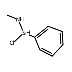 CN[SiH](Cl)c1ccccc1